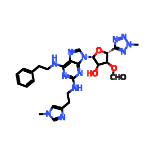 Cn1cnc(CCNc2nc(NCCc3ccccc3)c3ncn([C@@H]4O[C@H](c5nnn(C)n5)[C@@H](OC=O)[C@H]4O)c3n2)c1